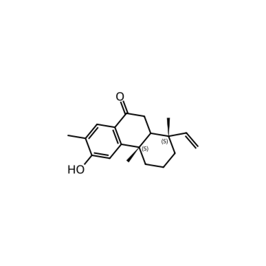 C=C[C@]1(C)CCC[C@]2(C)c3cc(O)c(C)cc3C(=O)CC12